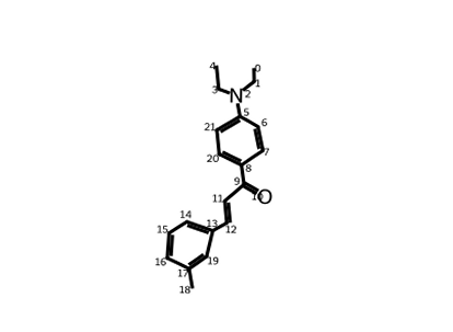 CCN(CC)c1ccc(C(=O)C=Cc2cccc(C)c2)cc1